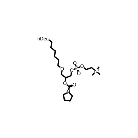 CCCCCCCCCCCCCCCCOCC(COP(=O)([O-])OCC[N+](C)(C)C)OC(=O)N1CCCC1